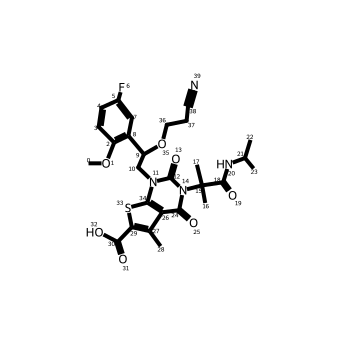 COc1ccc(F)cc1C(Cn1c(=O)n(C(C)(C)C(=O)NC(C)C)c(=O)c2c(C)c(C(=O)O)sc21)OCCC#N